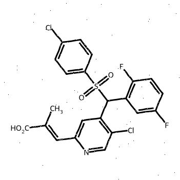 CC(=Cc1cc(C(c2cc(F)ccc2F)S(=O)(=O)c2ccc(Cl)cc2)c(Cl)cn1)C(=O)O